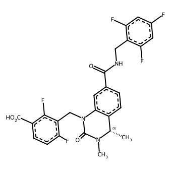 C[C@H]1c2ccc(C(=O)NCc3c(F)cc(F)cc3F)cc2N(Cc2c(F)ccc(C(=O)O)c2F)C(=O)N1C